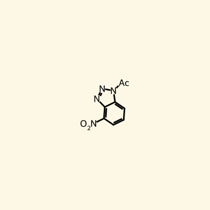 CC(=O)n1nnc2c([N+](=O)[O-])cccc21